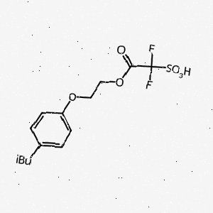 CCC(C)c1ccc(OCCOC(=O)C(F)(F)S(=O)(=O)O)cc1